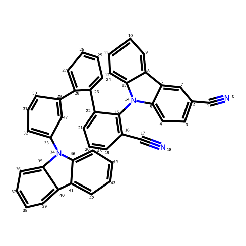 N#Cc1ccc2c(c1)c1ccccc1n2-c1c(C#N)cccc1-c1ccccc1-c1cccc(-n2c3ccccc3c3ccccc32)c1